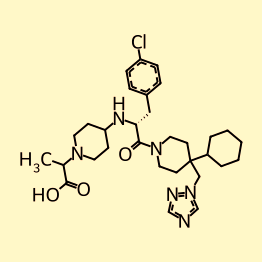 CC(C(=O)O)N1CCC(N[C@H](Cc2ccc(Cl)cc2)C(=O)N2CCC(Cn3cncn3)(C3CCCCC3)CC2)CC1